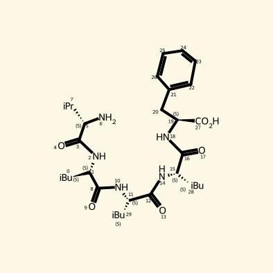 CC[C@H](C)[C@H](NC(=O)[C@@H](N)C(C)C)C(=O)N[C@H](C(=O)N[C@H](C(=O)N[C@@H](Cc1ccccc1)C(=O)O)[C@@H](C)CC)[C@@H](C)CC